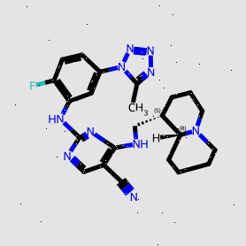 Cc1nnnn1-c1ccc(F)c(Nc2ncc(C#N)c(NC[C@@H]3CCCN4CCCC[C@H]34)n2)c1